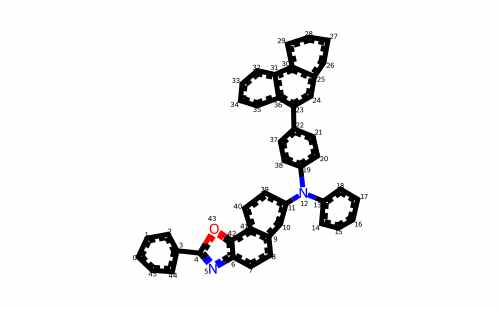 c1ccc(-c2nc3ccc4cc(N(c5ccccc5)c5ccc(-c6cc7ccccc7c7ccccc67)cc5)ccc4c3o2)cc1